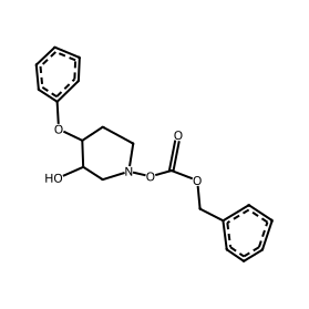 O=C(OCc1ccccc1)ON1CCC(Oc2ccccc2)C(O)C1